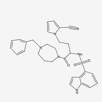 N#Cc1cccn1CCC(NS(=O)(=O)c1cccc2[nH]ccc12)C(=O)N1CCCN(Cc2ccccc2)CC1